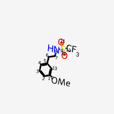 COc1cccc(CCNS(=O)(=O)C(F)(F)F)c1